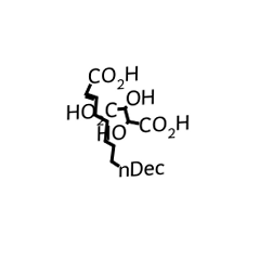 CCCCCCCCCCCCCCCC=CC(=O)O.O=C(O)C(O)C(O)C(=O)O